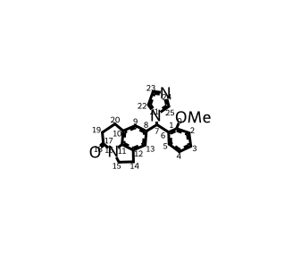 COc1ccccc1C(c1cc2c3c(c1)CCN3C(=O)CC2)n1ccnc1